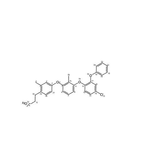 Cc1cc(Oc2cccc(Oc3ccc(Cl)cc3Oc3ccccc3)c2C)ccc1CCC(=O)O